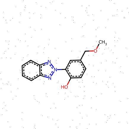 COCc1ccc(O)c(-n2nc3ccccc3n2)c1